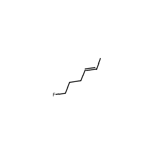 CC=CCCCF